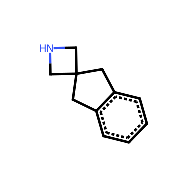 c1ccc2c(c1)CC1(CNC1)C2